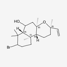 C=C[C@@]1(C)CC[C@@H]2[C@@]3(C)CCC(Br)C(C)(C)[C@@H]3C(O)C[C@@]2(C)O1